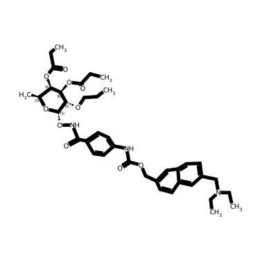 CCCO[C@@H]1[C@H](ONC(=O)c2ccc(NC(=O)OCc3ccc4cc(CN(CC)CC)ccc4c3)cc2)O[C@@H](C)[C@@H](OC(=O)CC)[C@H]1OC(=O)CC